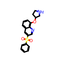 O=S(=O)(c1ccccc1)c1cnc2c(OC3CCNC3)cccc2c1